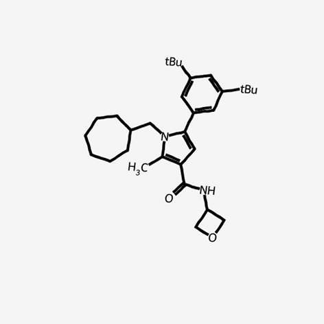 Cc1c(C(=O)NC2COC2)cc(-c2cc(C(C)(C)C)cc(C(C)(C)C)c2)n1CC1CCCCCC1